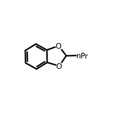 [CH2]CCC1Oc2ccccc2O1